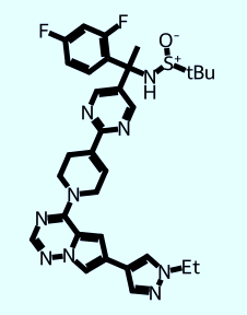 CCn1cc(-c2cc3c(N4CC=C(c5ncc(C(C)(N[S+]([O-])C(C)(C)C)c6ccc(F)cc6F)cn5)CC4)ncnn3c2)cn1